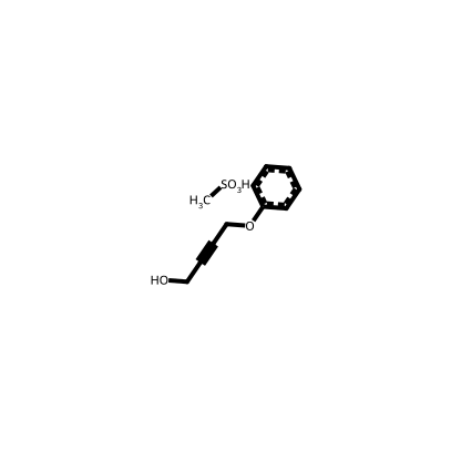 CS(=O)(=O)O.OCC#CCOc1ccccc1